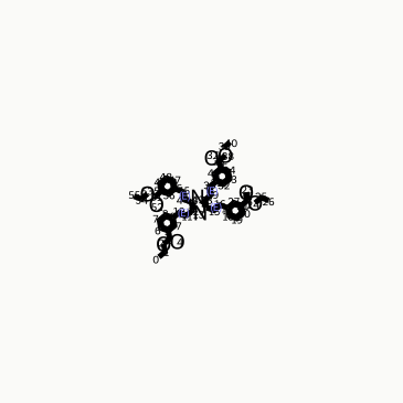 CCOC(=O)c1cccc(/C=C/c2nc(/C=C/c3cccc(C(=O)OCC)c3)c(/C=C/c3cccc(C(=O)OCC)c3)nc2/C=C/c2cccc(C(=O)OCC)c2)c1